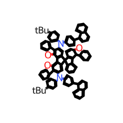 CC(C)(C)c1ccc(N(c2ccc(-c3cccc4ccccc34)cc2)c2cc3c(c4oc5ccccc5c24)-c2c(cc(N(c4ccc(-c5cccc6ccccc56)cc4)c4ccc(C(C)(C)C)cc4)c4c2oc2ccccc24)C32C3=C(c4ccccc42)C2c4ccccc4OC2C=C3)cc1